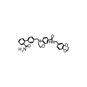 NC(=O)c1ccccc1-c1ccc(CN2CCOc3cc(C(=O)NCc4ccc5c(c4)OCCO5)ccc32)cc1